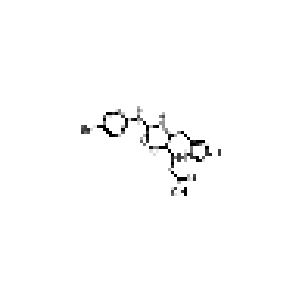 O=C(O)CNC(=O)C(Cc1c[nH]cn1)NC(=O)Nc1ccc(Br)cc1